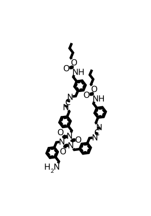 CCCCOC(=O)NCc1cccc(CN=C=NCc2cccc(Cn3c(=O)n(Cc4cccc(CN)c4)c(=O)n(Cc4cccc(CN=C=NCc5cccc(CNC(=O)OCCCC)c5)c4)c3=O)c2)c1